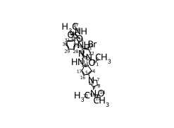 CCOc1cc(N2CCC(N(C)C(C)=O)C2)ccc1Nc1ncc(Br)c(Nc2ccccc2S(=O)(=O)NC)n1